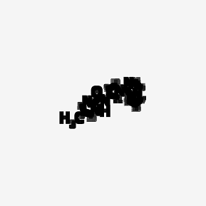 Cc1cnc(C(=O)NC2CCN(c3nccn4cccc34)C2)nc1